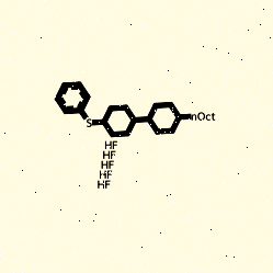 CCCCCCCCC1CCC(C2CCC(Sc3ccccc3)CC2)CC1.F.F.F.F.F